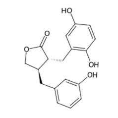 O=C1OC[C@H](Cc2cccc(O)c2)[C@H]1Cc1cc(O)ccc1O